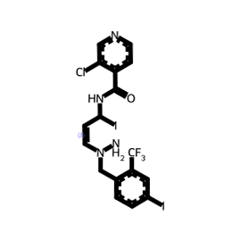 NN(/C=C\C(I)NC(=O)c1ccncc1Cl)Cc1ccc(I)cc1C(F)(F)F